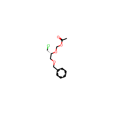 CC(=O)OCO[C@@H](CCl)COCc1ccccc1